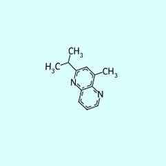 Cc1cc(C(C)C)nc2cccnc12